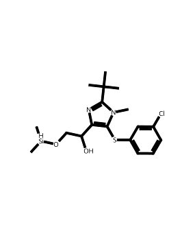 Cn1c(C(C)(C)C)nc(C(O)CO[SiH](C)C)c1Sc1cccc(Cl)c1